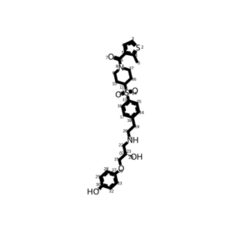 Cc1sccc1C(=O)N1CCC(S(=O)(=O)c2ccc(CCNC[C@H](O)COc3ccc(O)cc3)cc2)CC1